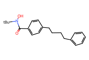 CC(C)(C)N(O)C(=O)c1ccc(CCCCc2ccccc2)cc1